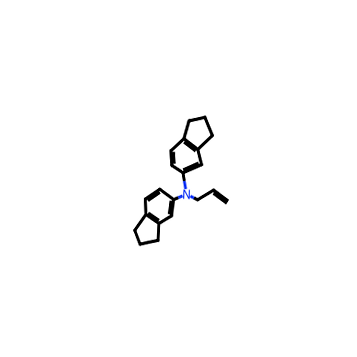 C=CCN(c1ccc2c(c1)CCC2)c1ccc2c(c1)CCC2